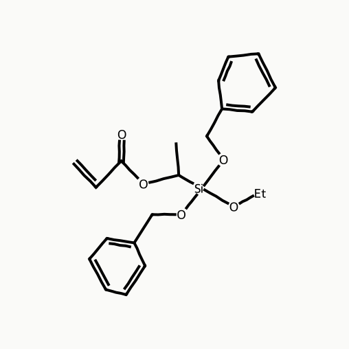 C=CC(=O)OC(C)[Si](OCC)(OCc1ccccc1)OCc1ccccc1